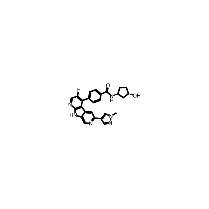 Cn1cc(-c2cc3c(cn2)[nH]c2ncc(F)c(-c4ccc(C(=O)N[C@H]5CC[C@@H](O)C5)cc4)c23)cn1